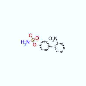 NS(=O)(=O)Oc1ccc(-c2ccccc2[N+](=O)[O-])cc1